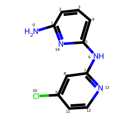 Nc1cccc(Nc2cc(Cl)ccn2)n1